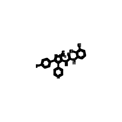 Cn1nc(-c2ccc(F)cc2)c(-c2ccncc2)c1NC(=O)Nc1cccc(Cl)c1Cl